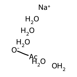 CC(=O)[O-].O.O.O.O.O.[Na+]